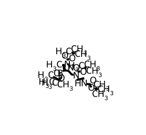 Cc1c(B2OC(C)(C)C(C)(C)O2)c(CN(CCNC(=O)OC(C)(C)C)C(=O)OC(C)(C)C)nn1C(=O)OC(C)(C)C